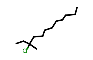 CCCCCCCCCC(C)(Cl)CC